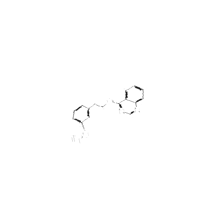 CC(C)Oc1cccc(CCOc2ncnc3ccccc23)c1